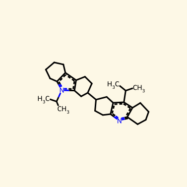 CC(C)c1c2c(nc3c1CC(C1CCc4c5c(n(C(C)C)c4C1)CCCC5)CC3)CCCC2